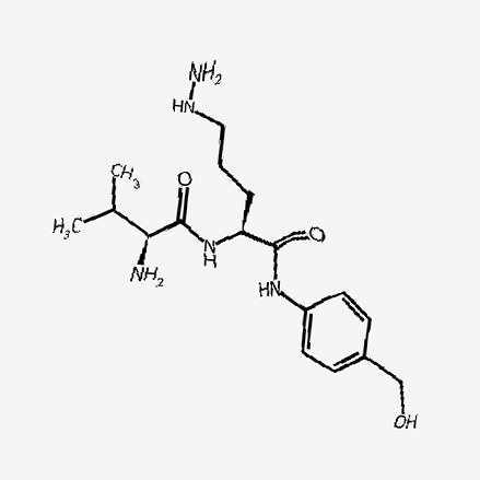 CC(C)[C@H](N)C(=O)N[C@@H](CCCNN)C(=O)Nc1ccc(CO)cc1